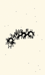 CN(c1ncc(-c2ncc(C3=C(F)CCCN=C3)cc2O)nn1)C1CC(C)(C)NC(C)(C)C1